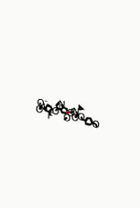 COc1ccc(COC(=O)N(COc2cc3nccc(Oc4ccc([N+](=O)[O-])cc4F)c3cc2OC)C2CC2)cc1